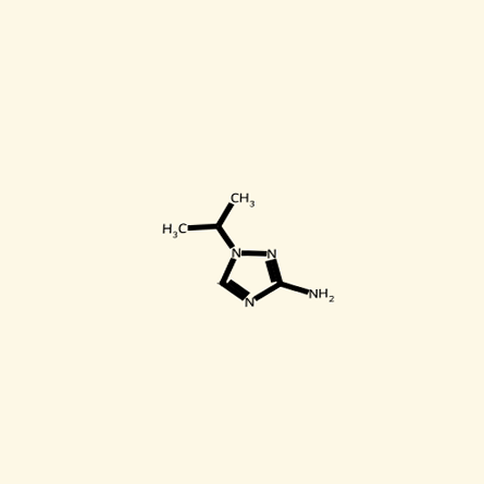 CC(C)n1[c]nc(N)n1